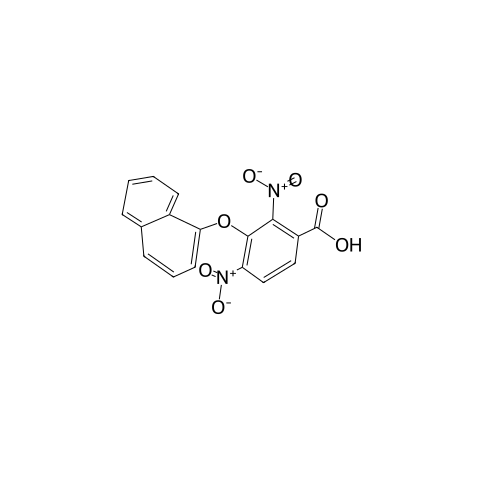 O=C(O)c1ccc([N+](=O)[O-])c(Oc2cccc3ccccc23)c1[N+](=O)[O-]